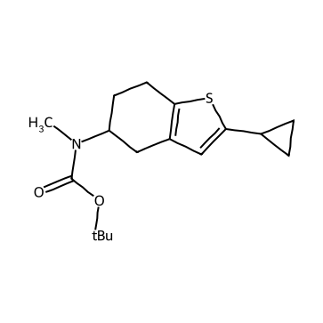 CN(C(=O)OC(C)(C)C)C1CCc2sc(C3CC3)cc2C1